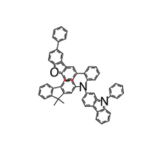 CC1(C)c2ccccc2-c2ccc(N(c3ccc4c5ccccc5n(-c5ccccc5)c4c3)c3ccccc3-c3ccc4oc5ccc(-c6ccccc6)cc5c4c3)cc21